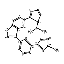 CC(C)n1cnnc1-c1ccc2[nH]nc(-c3cncc(-c4cnn(C)c4)c3)c2c1